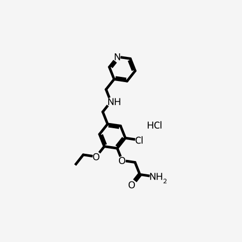 CCOc1cc(CNCc2cccnc2)cc(Cl)c1OCC(N)=O.Cl